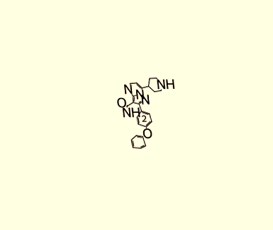 NC(=O)c1c(-c2ccc(Oc3ccccc3)cc2)nn2c(C3CCNCC3)ccnc12